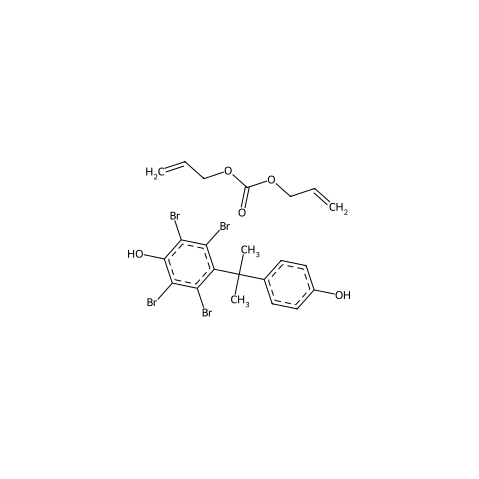 C=CCOC(=O)OCC=C.CC(C)(c1ccc(O)cc1)c1c(Br)c(Br)c(O)c(Br)c1Br